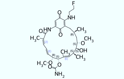 CO[C@H]1C[C@H](C)CC2=C(NCCF)C(=O)C=C(NC(=O)/C(C)=C\C=C\[C@@H](OC)[C@@H](OC(N)=O)/C(C)=C/[C@H](C)[C@@H]1O)C2=O